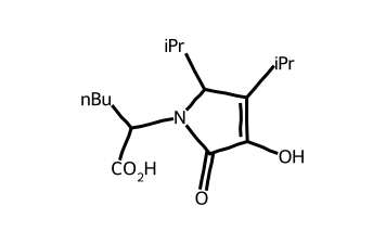 CCCCC(C(=O)O)N1C(=O)C(O)=C(C(C)C)C1C(C)C